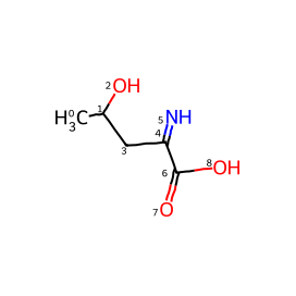 CC(O)CC(=N)C(=O)O